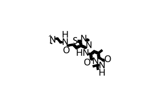 Cc1cc(Nc2ncnc3sc(C(=O)NCCN(C)C)cc23)c(=O)n2c1C(=O)NC2(C)C